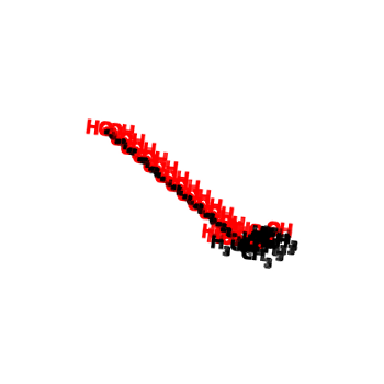 CC1(C)[C@@H](O)CC[C@]2(C)[C@H]3C(=O)C=C4[C@@H]5C[C@@](C)(C(=O)OCC(O)C(O)C(O)C(O)COCC(O)COCC(O)COCC(O)COCC(O)COCC(O)COCC(O)COCC(O)COCC(O)COCC(O)COCC(O)CO)CC[C@]5(C)CC[C@@]4(C)[C@]3(C)CC[C@@H]12